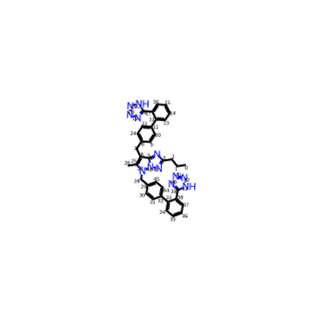 CCCc1nc2c(Cc3ccc(-c4ccccc4-c4nnn[nH]4)cc3)c(C)n(Cc3ccc(-c4ccccc4-c4nnn[nH]4)cc3)n2n1